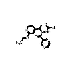 CCC(=O)NN(C(=O)c1cnccn1)C(C)c1ccnc(OCC(F)(F)F)c1